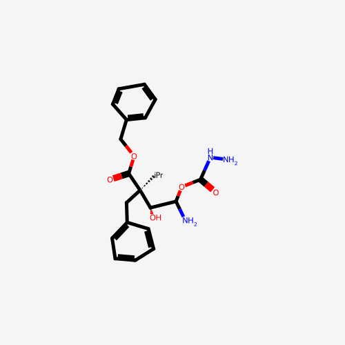 CC(C)[C@](Cc1ccccc1)(C(=O)OCc1ccccc1)[C@@H](O)C(N)OC(=O)NN